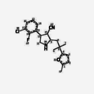 Cc1ccc(C(C)(C)CC2NCC(c3cccc(Cl)c3F)C2C#N)o1